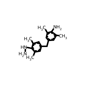 Cc1cc(Cc2cc(C)c(NN)c(C)c2)cc(C)c1N